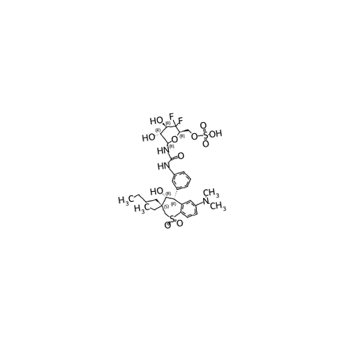 CCCC[C@]1(CC)CS(=O)(=O)c2ccc(N(C)C)cc2[C@@H](c2cccc(NC(=O)N[C@@H]3O[C@H](COS(=O)(=O)O)C(F)(F)[C@H](O)[C@H]3O)c2)[C@H]1O